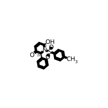 Cc1ccc(S(=O)(=O)N2[C@H](O)C=CC(=O)[C@@H]2c2ccccc2)cc1